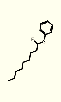 CCCCCCCCC(F)Sc1ccccc1